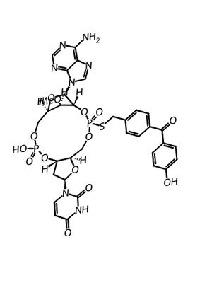 CO[C@H]1[C@H]2OP(=O)(SCc3ccc(C(=O)c4ccc(O)cc4)cc3)OC[C@H]3O[C@@H](n4ccc(=O)[nH]c4=O)C[C@@H]3OP(=O)(O)OC[C@H]1O[C@H]2n1cnc2c(N)ncnc21